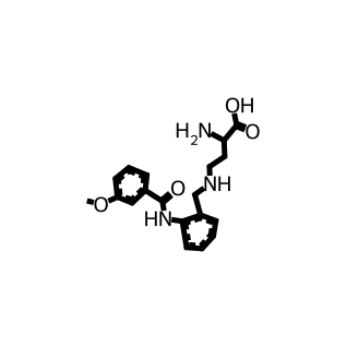 COc1cccc(C(=O)Nc2ccccc2CNCCC(N)C(=O)O)c1